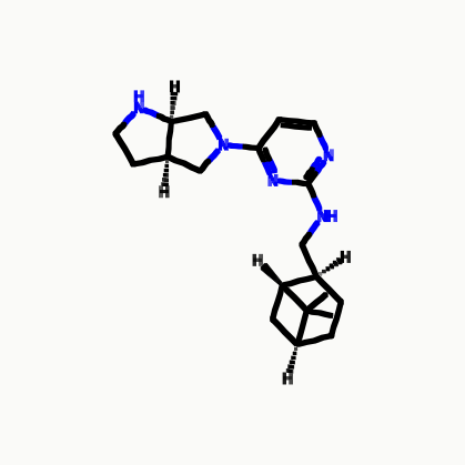 CC1(C)[C@H]2CC[C@H](CNc3nccc(N4C[C@H]5CCN[C@H]5C4)n3)[C@H]1C2